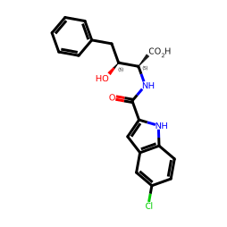 O=C(N[C@H](C(=O)O)[C@@H](O)Cc1ccccc1)c1cc2cc(Cl)ccc2[nH]1